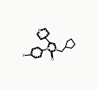 O=c1n(CC2CCCC2)cc(-c2ccncc2)n1-c1ccc(F)cc1